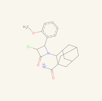 COc1ccccc1C1C(Cl)C(=O)N1C1C2CC3CC(C2)CC1(C(N)=O)C3